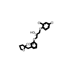 O=C(O)C1(Cc2cccc(OC[C@H](O)COc3ccc(Cl)cc3Cl)c2)CCCO1